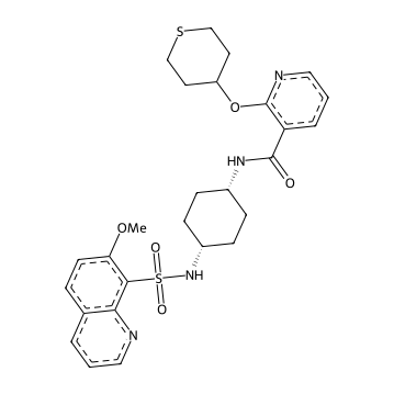 COc1ccc2cccnc2c1S(=O)(=O)N[C@H]1CC[C@@H](NC(=O)c2cccnc2OC2CCSCC2)CC1